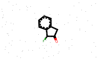 O=C1Cc2ccccc2C1F